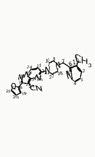 Cc1cccnc1CN1CCN(c2ccn3nc(-c4ccco4)c(C#N)c3n2)CC1